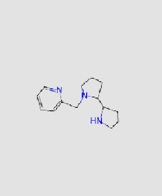 c1ccc(CN2CCCC2C2CCCN2)nc1